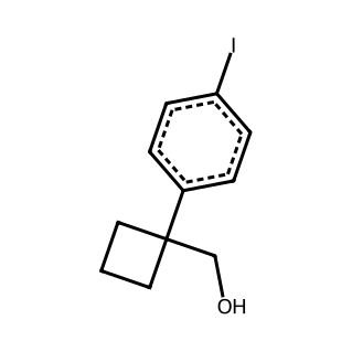 OCC1(c2ccc(I)cc2)CCC1